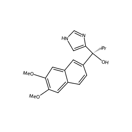 COc1cc2ccc([C@](O)(c3c[nH]cn3)C(C)C)cc2cc1OC